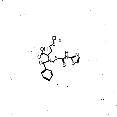 CSCCC(C(=O)O)N(CSC(=S)Nc1nccs1)C(=O)c1ccccc1